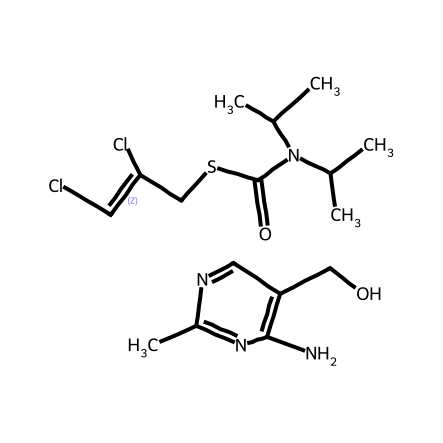 CC(C)N(C(=O)SC/C(Cl)=C/Cl)C(C)C.Cc1ncc(CO)c(N)n1